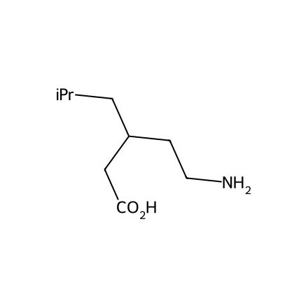 CC(C)CC(CCN)CC(=O)O